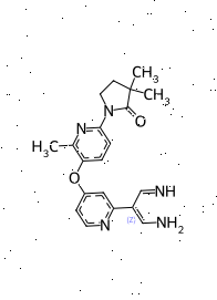 Cc1nc(N2CCC(C)(C)C2=O)ccc1Oc1ccnc(/C(C=N)=C/N)c1